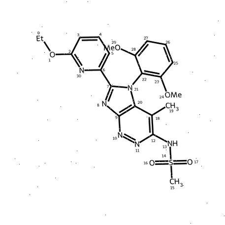 CCOc1cccc(-c2nc3nnc(NS(C)(=O)=O)c(C)c3n2-c2c(OC)cccc2OC)n1